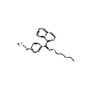 CSc1ccc(/C(=N/OCCCCI)c2cccc3ccccc23)cc1